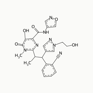 CC(c1nc(C(=O)Nc2cnoc2)c(O)c(=O)n1C)C(c1cnn(CCO)c1)c1ccccc1C#N